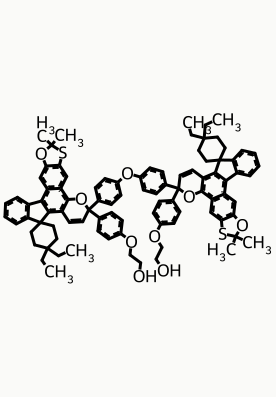 CCC1(CC)CCC2(CC1)c1ccccc1-c1c2c2c(c3cc4c(cc13)OC(C)(C)S4)OC(c1ccc(OCCO)cc1)(c1ccc(Oc3ccc(C4(c5ccc(OCCO)cc5)C=Cc5c6c(c7cc8c(cc7c5O4)SC(C)(C)O8)-c4ccccc4C64CCC(CC)(CC)CC4)cc3)cc1)C=C2